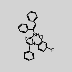 Fc1ccc(-n2c(-c3ccccc3)cnc2BC(=Cc2ccccc2)c2ccccc2)c(Cl)c1